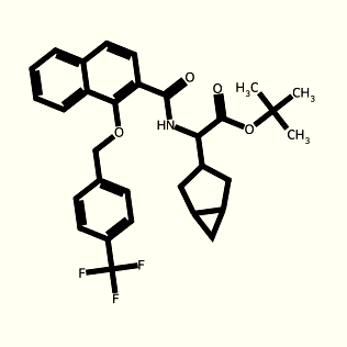 CC(C)(C)OC(=O)C(NC(=O)c1ccc2ccccc2c1OCc1ccc(C(F)(F)F)cc1)C1CC2CC2C1